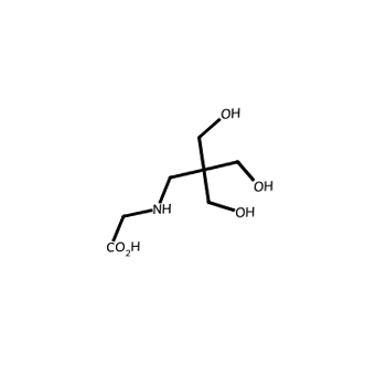 O=C(O)CNCC(CO)(CO)CO